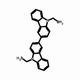 BCn1c2ccccc2c2cc(-c3ccc4c(c3)c3ccccc3n4CB)ccc21